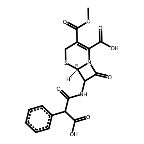 COC(=O)C1=C(C(=O)O)N2C(=O)C(NC(=O)C(C(=O)O)c3ccccc3)[C@H]2SC1